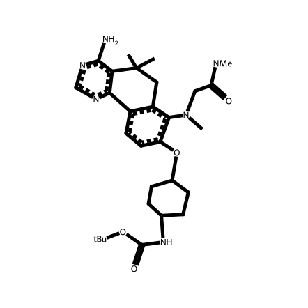 CNC(=O)CN(C)c1c(OC2CCC(NC(=O)OC(C)(C)C)CC2)ccc2c1CC(C)(C)c1c(N)ncnc1-2